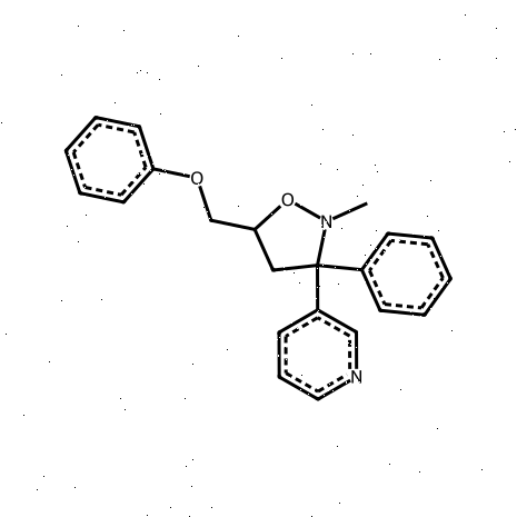 CN1OC(COc2ccccc2)CC1(c1ccccc1)c1cccnc1